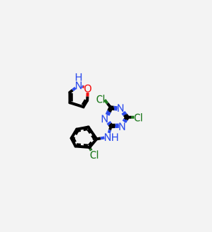 C1=CNOC=C1.Clc1nc(Cl)nc(Nc2ccccc2Cl)n1